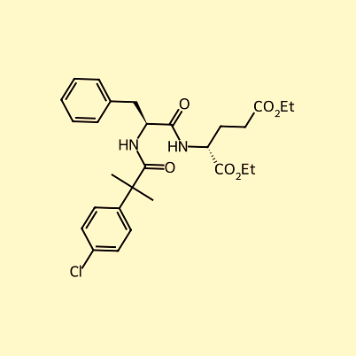 CCOC(=O)CC[C@@H](NC(=O)[C@H](Cc1ccccc1)NC(=O)C(C)(C)c1ccc(Cl)cc1)C(=O)OCC